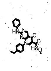 CCc1ccc(-n2cc(C(=O)NOC)c(=O)c3cnc(Nc4ccccc4)nc32)cc1